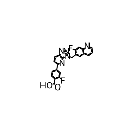 O=C(O)c1ccc(-c2ccc3nnn(Cc4cc5cccnc5cc4F)c3n2)cc1F